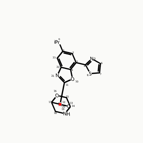 CC(C)c1cc(-c2nccs2)c2oc(N3CC4COC(CN4)C3)nc2c1